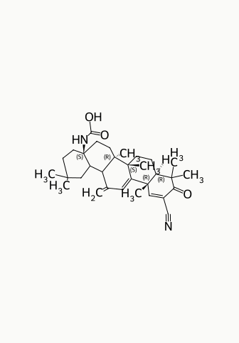 C=C1C=C2[C@@]3(C)C=C(C#N)C(=O)C(C)(C)[C@@H]3CC[C@@]2(C)[C@]2(C)CC[C@@]3(NC(=O)O)CCC(C)(C)CC3C12